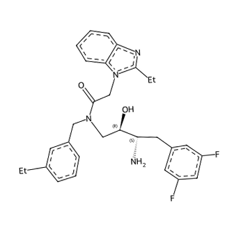 CCc1cccc(CN(C[C@@H](O)[C@@H](N)Cc2cc(F)cc(F)c2)C(=O)Cn2c(CC)nc3ccccc32)c1